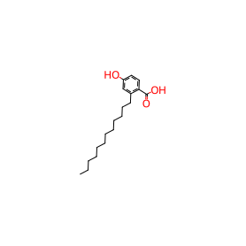 CCCCCCCCCCCCc1cc(O)ccc1C(=O)O